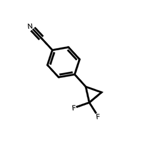 N#Cc1ccc(C2CC2(F)F)cc1